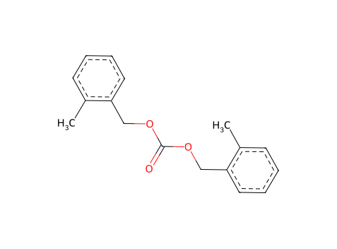 Cc1ccccc1COC(=O)OCc1ccccc1C